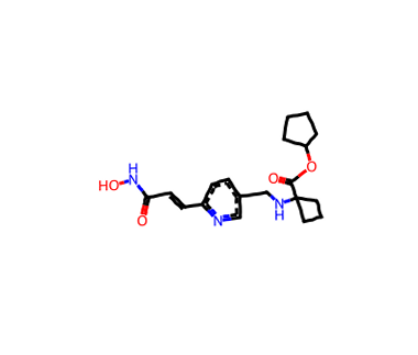 O=C(/C=C/c1ccc(CNC2(C(=O)OC3CCCC3)CCC2)cn1)NO